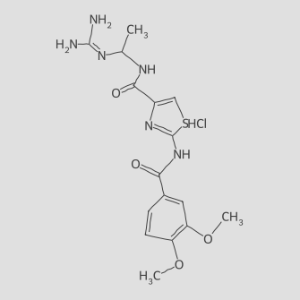 COc1ccc(C(=O)Nc2nc(C(=O)NC(C)N=C(N)N)cs2)cc1OC.Cl